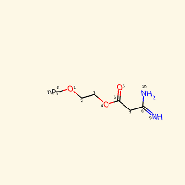 CCCOCCOC(=O)CC(=N)N